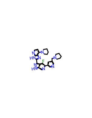 Fc1c(-c2cncc(CN3CCCCC3)c2)ncc2[nH]nc(-c3nc4c(N5CCCCC5)ccnc4[nH]3)c12